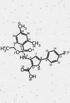 CCOP(=O)(Nc1cc(-c2ccc(F)cc2)sc1C(=O)O)c1ccc(C)cc1C